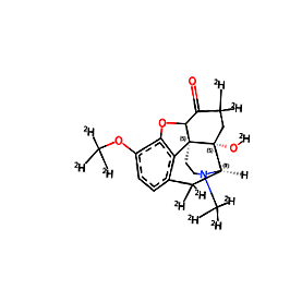 [2H]O[C@@]12CC([2H])([2H])C(=O)C3Oc4c(OC([2H])([2H])[2H])ccc5c4[C@@]31CCN(C([2H])([2H])[2H])[C@@H]2C5([2H])[2H]